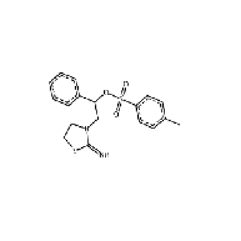 Cc1ccc(S(=O)(=O)OC(CN2CCSC2=N)c2ccccc2)cc1